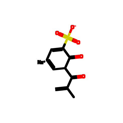 C=C(C)C(=O)C1C=CC=C(S(=O)(=O)[O-])C1=O.[Na+]